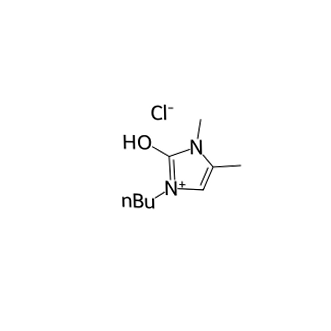 CCCC[n+]1cc(C)n(C)c1O.[Cl-]